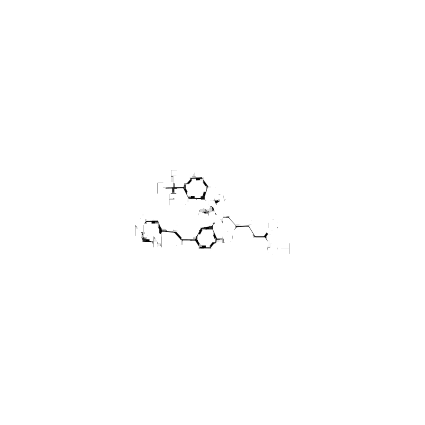 O=C(O)CCC1CN(S(=O)(=O)c2cccc(C(F)(F)F)c2)c2cc(C=Cc3ccncn3)ccc2O1